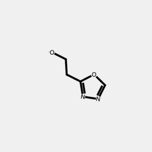 [O]CCc1nnco1